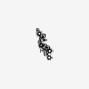 O=C(c1ccccc1)c1ccccc1NC(Cc1ccc(OCCN(C(=O)C2CC2)c2ccc(F)cc2)cc1)C(=O)O